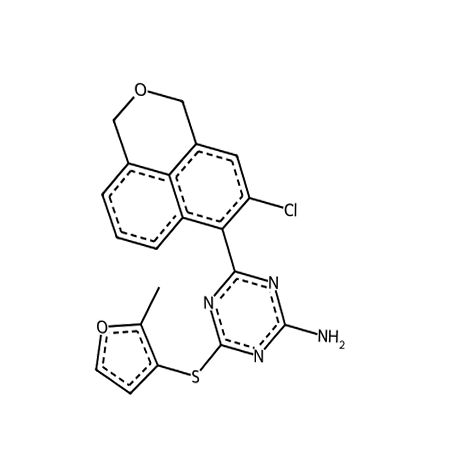 Cc1occc1Sc1nc(N)nc(-c2c(Cl)cc3c4c(cccc24)COC3)n1